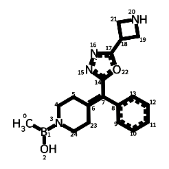 CB(O)N1CCC(=C(c2ccccc2)c2nnc(C3CNC3)o2)CC1